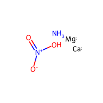 N.O=[N+]([O-])O.[Ca].[Mg]